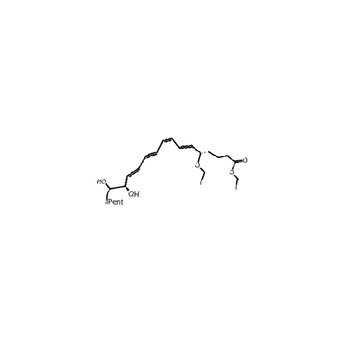 CCCCC[C@@H](O)[C@H](O)/C=C/C=C/C=C\C=C\[C@H](CCCC(=O)OCI)OCI